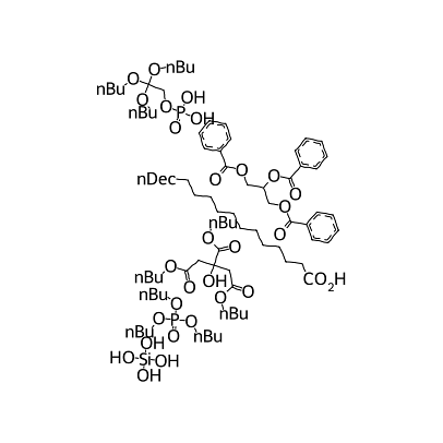 CCCCCCCCCCCCCCCCCCCCCC(=O)O.CCCCOC(=O)CC(O)(CC(=O)OCCCC)C(=O)OCCCC.CCCCOC(COP(=O)(O)O)(OCCCC)OCCCC.CCCCOP(=O)(OCCCC)OCCCC.O=C(OCC(COC(=O)c1ccccc1)OC(=O)c1ccccc1)c1ccccc1.O[Si](O)(O)O